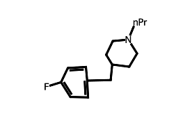 [CH2]CCN1CCC(Cc2ccc(F)cc2)CC1